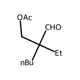 CCCCC([C]=O)(CC)COC(C)=O